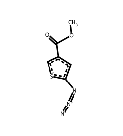 COC(=O)c1csc(N=[N+]=[N-])c1